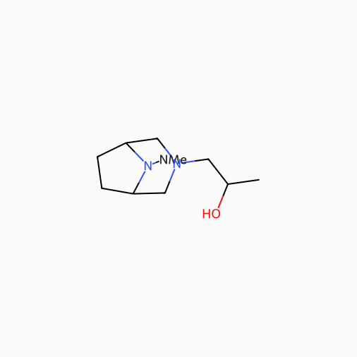 CNN1C2CCC1CN(CC(C)O)C2